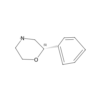 c1ccc([C@H]2C[N]CCO2)cc1